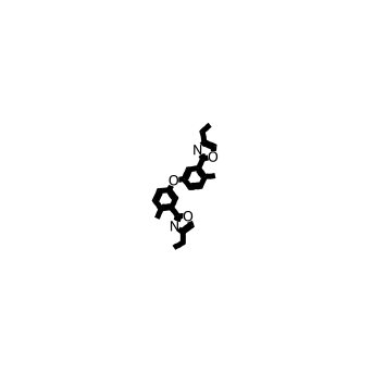 CCc1coc(-c2cc(Oc3ccc(C)c(-c4nc(CC)co4)c3)ccc2C)n1